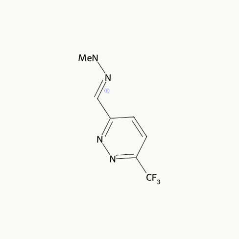 CN/N=C/c1ccc(C(F)(F)F)nn1